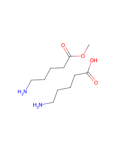 COC(=O)CCCCN.NCCCCC(=O)O